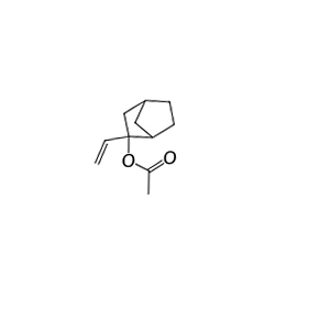 C=CC1(OC(C)=O)CC2CCC1C2